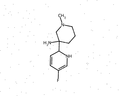 CN1CCCC(N)(C2C=CC(F)=CN2)C1